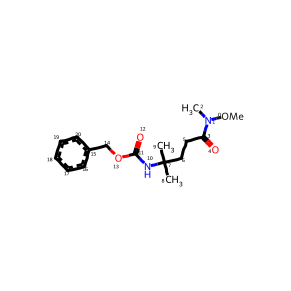 CON(C)C(=O)CCC(C)(C)NC(=O)OCc1ccccc1